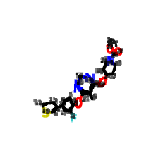 Cc1c(Oc2ccc(C3=CSCC3)cc2F)ncnc1OC1CCN(C(=O)OC(C)C)CC1